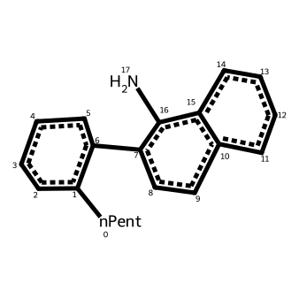 CCCCCc1ccccc1-c1ccc2ccccc2c1N